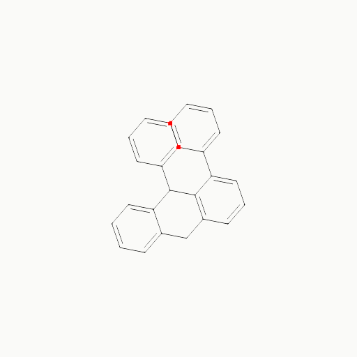 c1ccc(-c2cccc3c2C(c2ccccc2)c2ccccc2C3)cc1